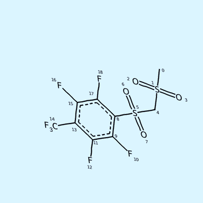 CS(=O)(=O)CS(=O)(=O)c1c(F)c(F)c(C(F)(F)F)c(F)c1F